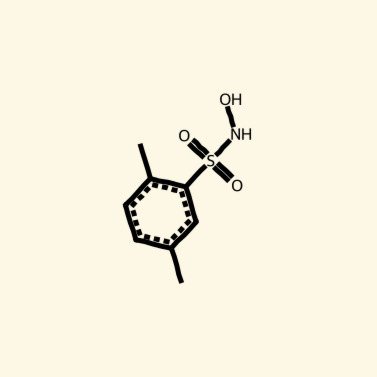 Cc1ccc(C)c(S(=O)(=O)NO)c1